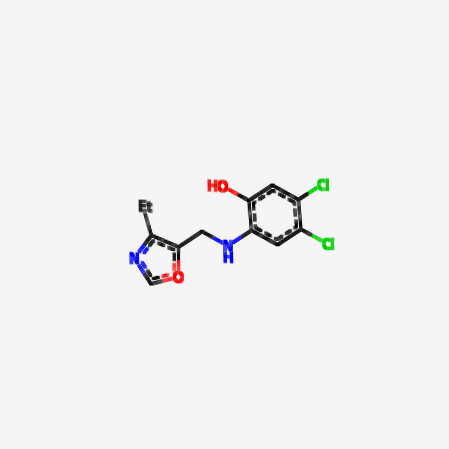 CCc1ncoc1CNc1cc(Cl)c(Cl)cc1O